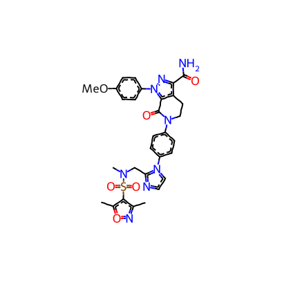 COc1ccc(-n2nc(C(N)=O)c3c2C(=O)N(c2ccc(-n4ccnc4CN(C)S(=O)(=O)c4c(C)noc4C)cc2)CC3)cc1